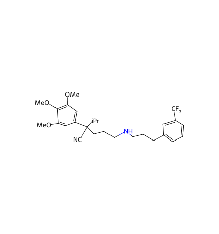 COc1cc(C(C#N)(CCCNCCCc2cccc(C(F)(F)F)c2)C(C)C)cc(OC)c1OC